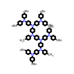 CCCCc1ccc(N(c2ccc(CCCC)cc2)c2ccc(N(c3ccc(C)cc3)c3ccc(N(c4ccc(N(c5ccc(CCCC)cc5)c5ccc(CCCC)cc5)cc4)c4ccc(N(c5ccc(C)cc5)c5ccc(N(c6ccc(N(c7ccc(CCCC)cc7)c7ccc(CCCC)cc7)cc6)c6ccc(N(c7ccc(CCCC)cc7)c7ccc(CCCC)cc7)cc6)cc5)cc4)cc3)cc2)cc1